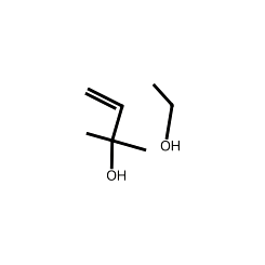 C=CC(C)(C)O.CCO